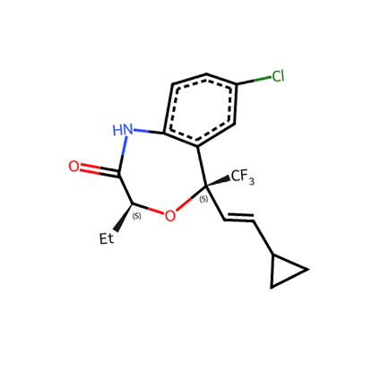 CC[C@@H]1O[C@](C=CC2CC2)(C(F)(F)F)c2cc(Cl)ccc2NC1=O